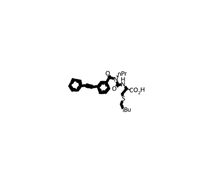 CCCN(C(=O)N[C@@H](CSCC(C)CC)C(=O)O)C(=O)c1cccc(C#Cc2ccccc2)c1